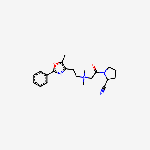 Cc1oc(-c2ccccc2)nc1CC[N+](C)(C)CC(=O)N1CCCC1C#N